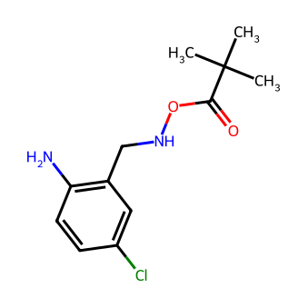 CC(C)(C)C(=O)ONCc1cc(Cl)ccc1N